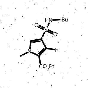 CCOC(=O)c1c(F)c(S(=O)(=O)NC(C)CC)cn1C